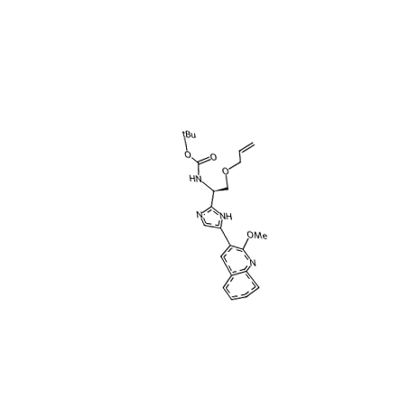 C=CCOC[C@H](NC(=O)OC(C)(C)C)c1ncc(-c2cc3ccccc3nc2OC)[nH]1